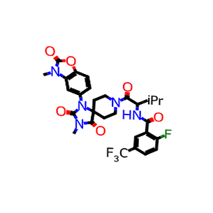 CC(C)C(NC(=O)c1cc(C(F)(F)F)ccc1F)C(=O)N1CCC2(CC1)C(=O)N(C)C(=O)N2c1ccc2oc(=O)n(C)c2c1